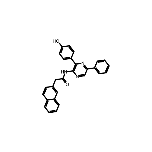 O=C(Cc1ccc2ccccc2c1)Nc1ncc(-c2ccccc2)nc1-c1ccc(O)cc1